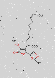 CCCCCCCC/C=C\CCCCCCC(C(=O)[O-])C1=C(O)C(=O)OC1C1COC(C(C)C)O1.[Na+]